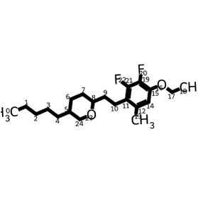 CCCCCC1CCC(CCc2c(C)cc(OCC)c(F)c2F)OC1